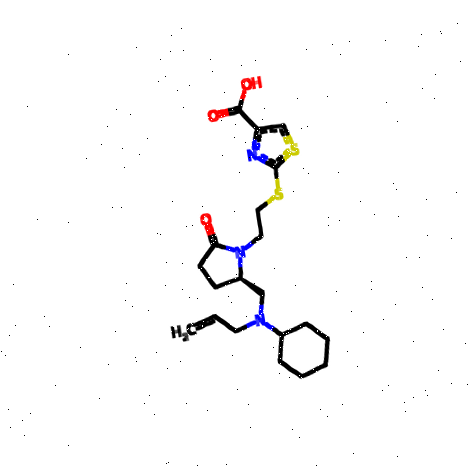 C=CCN(C[C@H]1CCC(=O)N1CCSc1nc(C(=O)O)cs1)C1CCCCC1